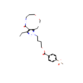 CCc1nn(CCCCOC(=O)c2ccc(S(C)(=O)=O)cc2)c2c1C(=O)NCCCOCCC2